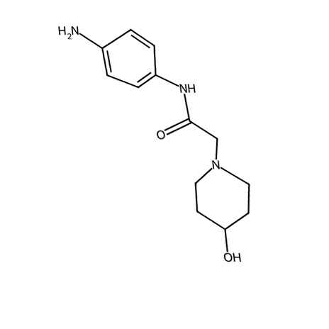 Nc1ccc(NC(=O)CN2CCC(O)CC2)cc1